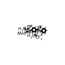 CSC1NN(c2cc(O[C@@H](C)C(F)(F)F)c(C(=O)Nc3c(F)cccc3F)cc2F)C(=O)N1C